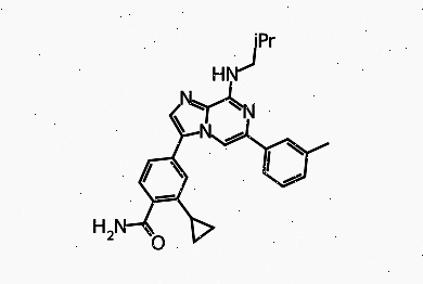 Cc1cccc(-c2cn3c(-c4ccc(C(N)=O)c(C5CC5)c4)cnc3c(NCC(C)C)n2)c1